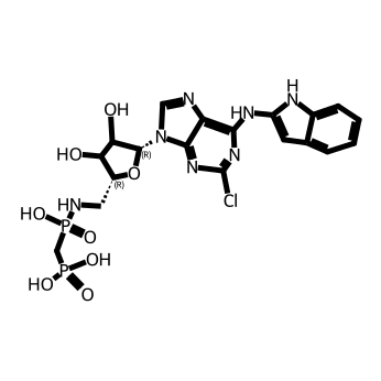 O=P(O)(O)CP(=O)(O)NC[C@H]1O[C@@H](n2cnc3c(Nc4cc5ccccc5[nH]4)nc(Cl)nc32)C(O)C1O